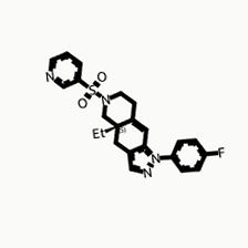 CC[C@]12Cc3cnn(-c4ccc(F)cc4)c3C=C1CCN(S(=O)(=O)c1cccnc1)C2